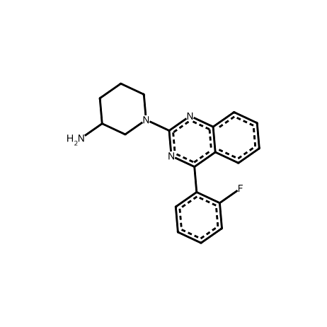 NC1CCCN(c2nc(-c3ccccc3F)c3ccccc3n2)C1